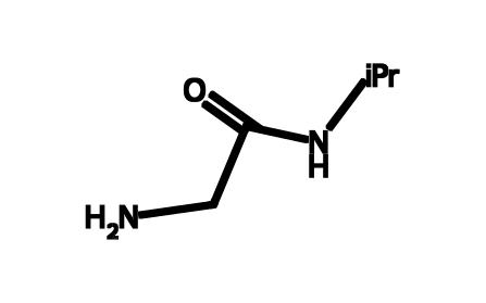 [CH2]C([CH2])NC(=O)CN